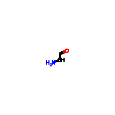 NBC=O